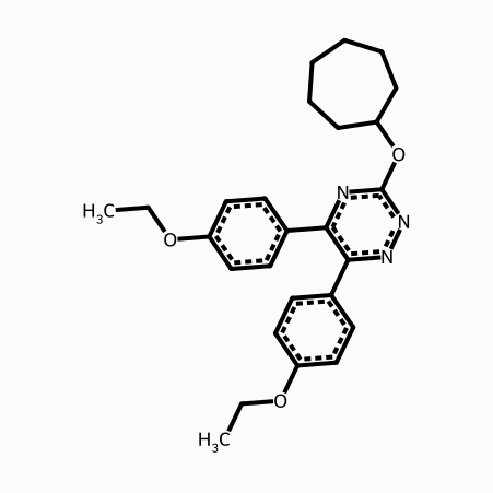 CCOc1ccc(-c2nnc(OC3CCCCCC3)nc2-c2ccc(OCC)cc2)cc1